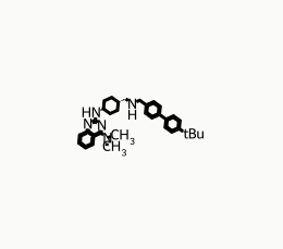 CN(C)c1nc(N[C@H]2CC[C@@H](CNCc3ccc(-c4ccc(C(C)(C)C)cc4)cc3)CC2)nc2ccccc12